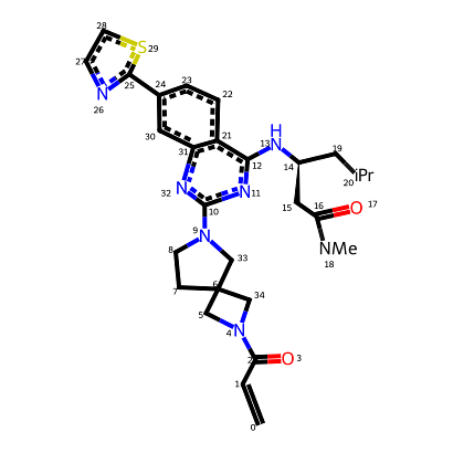 C=CC(=O)N1CC2(CCN(c3nc(N[C@H](CC(=O)NC)CC(C)C)c4ccc(-c5nccs5)cc4n3)C2)C1